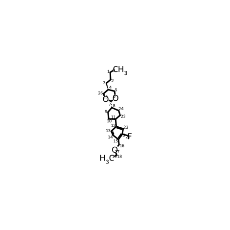 CCCC[C@H]1CO[C@H](C2CCC(c3ccc(COCC)c(F)c3)CC2)OC1